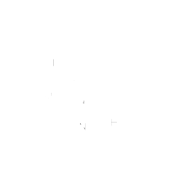 C1=N[C@@H]2CCCC[C@@H]2O1